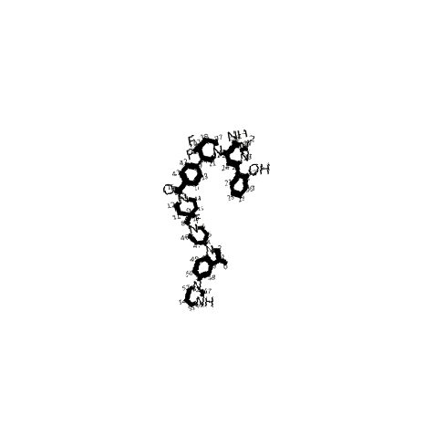 Cc1cn(C2CCN(CC3(F)CCN(C(=O)c4ccc([C@@H]5CN(c6cc(-c7ccccc7O)nnc6N)CCC5(F)F)cc4)CC3)CC2)c2ccc(N3C=CCNC3)cc12